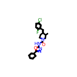 CC1CN(C(=O)Nc2nnc(-c3ccccc3)o2)CC/C1=C\c1cc(Cl)ccc1F